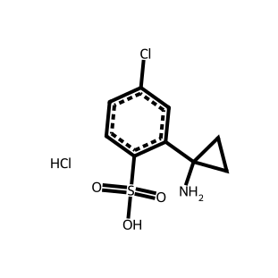 Cl.NC1(c2cc(Cl)ccc2S(=O)(=O)O)CC1